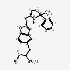 CCOC(=O)C(Cc1ccc2oc(CC3=COC(C)(c4ccccc4)N3)cc2c1)SCC